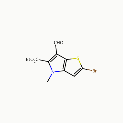 CCOC(=O)c1c(C=O)c2sc(Br)cc2n1C